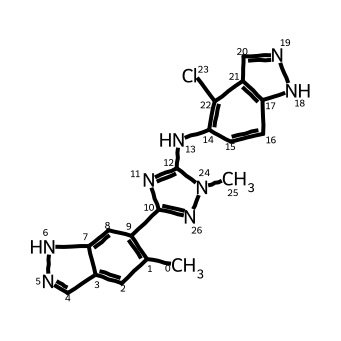 Cc1cc2cn[nH]c2cc1-c1nc(Nc2ccc3[nH]ncc3c2Cl)n(C)n1